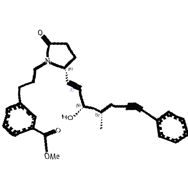 COC(=O)c1cccc(CCCN2C(=O)CC[C@@H]2/C=C/[C@@H](O)[C@@H](C)CC#Cc2ccccc2)c1